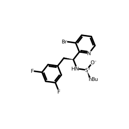 CCCC[S@+]([O-])N[C@@H](Cc1cc(F)cc(F)c1)c1ncccc1Br